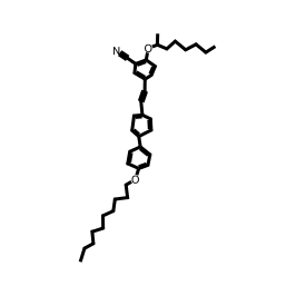 CCCCCCCCCCOc1ccc(-c2ccc(C#Cc3ccc(OC(C)CCCCCC)c(C#N)c3)cc2)cc1